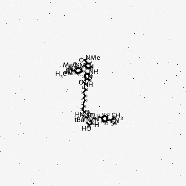 CNC(=O)c1cnc(Nc2ccc(C(=O)NCCCCCCCCCC(=O)N[C@H](C(=O)N3C[C@H](O)C[C@H]3C(=O)NCc3ccc(-c4scnc4C)cc3)C(C)(C)C)cn2)cc1Nc1cccc(-c2ncn(C)n2)c1OC